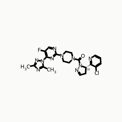 Cc1nc(C)n(-c2nc(N3CCN(C(=O)N4N=CC[C@H]4c4ncccc4Cl)CC3)ncc2F)n1